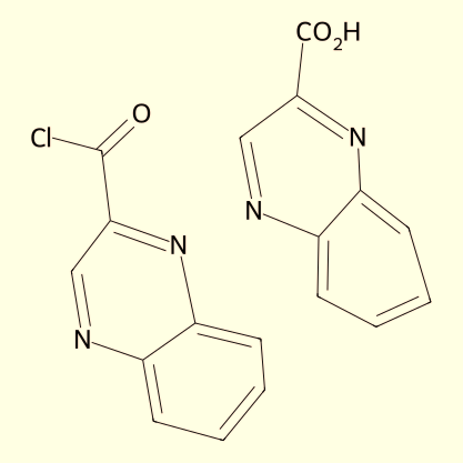 O=C(Cl)c1cnc2ccccc2n1.O=C(O)c1cnc2ccccc2n1